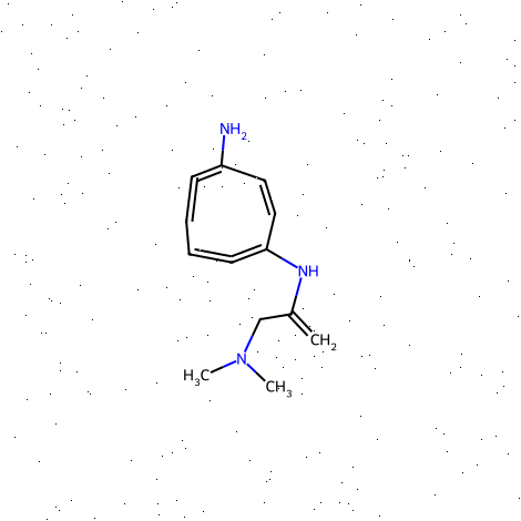 C=C(CN(C)C)NC1=C=CC=C=C(N)/C=C\1